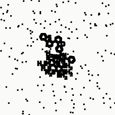 Bc1c(B)c(B)c2c(c1B)c1c(B)c(B)c(B)c(B)c1n2-c1nc(-c2ccccc2)nc(-c2ccc3c(c2)oc2cccc(-c4cccc5c4sc4ccccc45)c23)n1